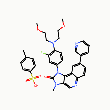 COCCN(CCOC)c1ccc(-n2c(=O)n(C)c3cnc4ccc(-c5cccnc5)cc4c32)cc1F.Cc1ccc(S(=O)(=O)O)cc1